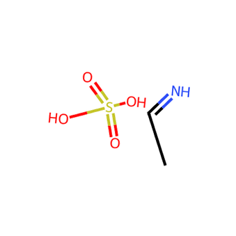 CC=N.O=S(=O)(O)O